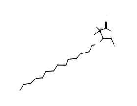 CCCCCCCCCCCCCCOC(CC)C(C)(O)C(N)=O